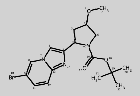 COC1CC(c2cn3cc(Br)ccc3n2)N(C(=O)OC(C)(C)C)C1